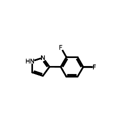 Fc1ccc(-c2cc[nH]n2)c(F)c1